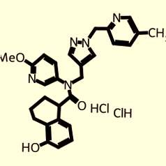 COc1ccc(N(Cc2cnn(Cc3ccc(C)cn3)c2)C(=O)C2CCCc3c(O)cccc32)cn1.Cl.Cl